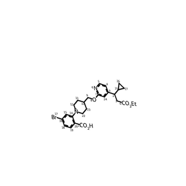 CCOC(=O)CC(c1ccnc(OCC2CCN(c3cc(Br)ccc3C(=O)O)CC2)c1)C1CC1